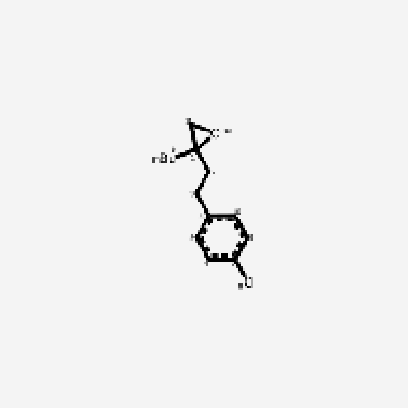 CCCCC1(CCc2ccc(Cl)cc2)CO1